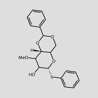 COC1C(O)[C@@H](Sc2ccccc2)OC2COC(c3ccccc3)O[C@H]21